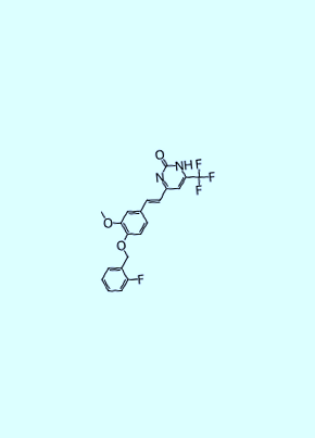 COc1cc(C=Cc2cc(C(F)(F)F)[nH]c(=O)n2)ccc1OCc1ccccc1F